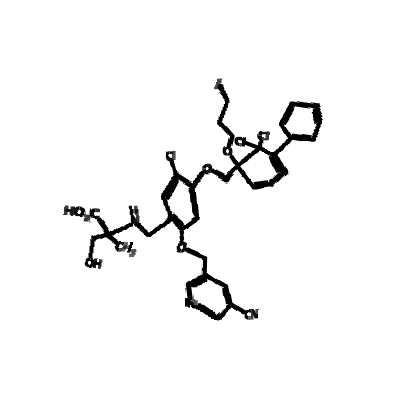 CC(CO)(NCc1cc(Cl)c(OCC2(OCCCI)C=CC=C(c3ccccc3)C2(Cl)Cl)cc1OCc1cncc(C#N)c1)C(=O)O